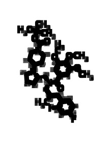 COc1cc(C(=O)N(CC(C)=Cc2ccc(F)cc2F)C[C@H]2CCCN2C2CCN(C(=O)OC(C)(C)C)CC2)cc(OC)c1OC